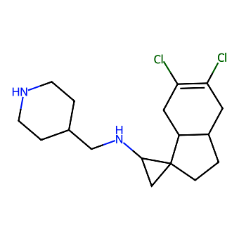 ClC1=C(Cl)CC2C(CCC23CC3NCC2CCNCC2)C1